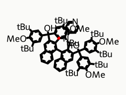 COc1c(C(C)(C)C)cc(C(O)(c2cc(C(C)(C)C)c(OC)c(C(C)(C)C)c2)c2cc3ccccc3c3c2CN(c2ccncc2)Cc2c(C(O)(c4cc(C(C)(C)C)c(OC)c(C(C)(C)C)c4)c4cc(C(C)(C)C)c(OC)c(C(C)(C)C)c4)cc4ccccc4c2-3)cc1C(C)(C)C